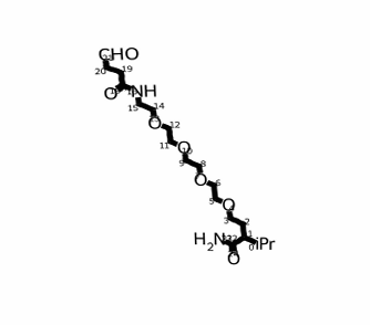 CC(C)C(CCOCCOCCOCCOCCNC(=O)CCC=O)C(N)=O